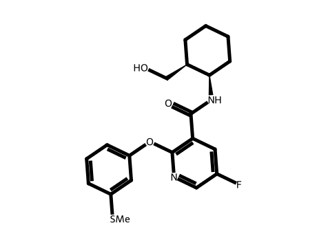 CSc1cccc(Oc2ncc(F)cc2C(=O)N[C@@H]2CCCC[C@@H]2CO)c1